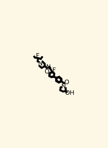 CCC(F)(CC)CN1CCC(COC2=CC=C(c3ccc(C(=O)N4CCCC(O)C4)cc3)C[C@@]2(F)C#N)CC1